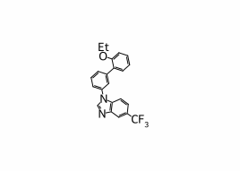 CCOc1ccccc1-c1cccc(-n2cnc3cc(C(F)(F)F)ccc32)c1